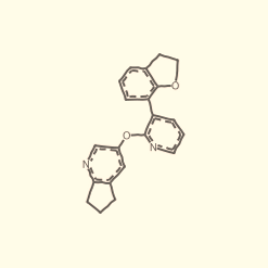 c1cnc(Oc2cnc3c(c2)CCC3)c(-c2cccc3c2OCC3)c1